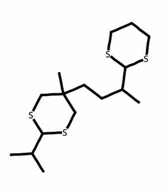 CC(C)C1SCC(C)(CCC(C)C2SCCCS2)CS1